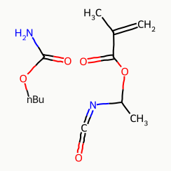 C=C(C)C(=O)OC(C)N=C=O.CCCCOC(N)=O